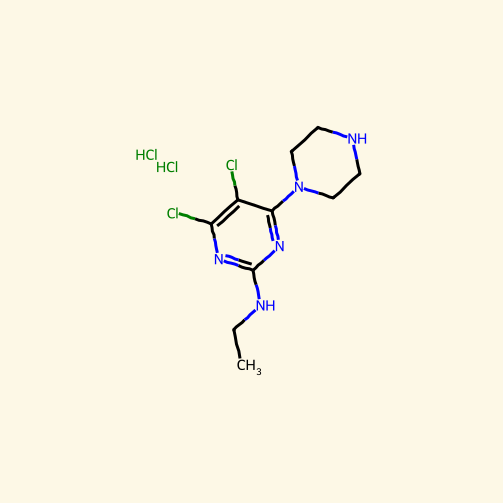 CCNc1nc(Cl)c(Cl)c(N2CCNCC2)n1.Cl.Cl